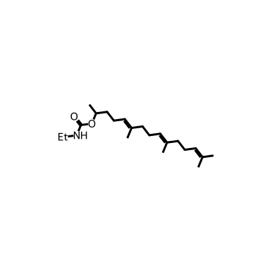 CCNC(=O)OC(C)CC/C=C(\C)CC/C=C(\C)CCC=C(C)C